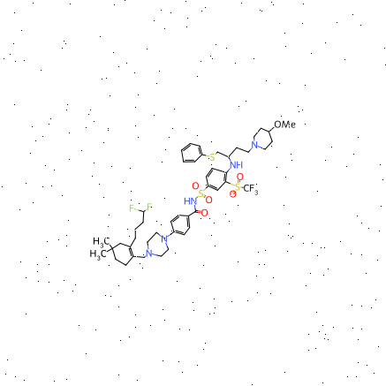 COC1CCN(CCC(CSc2ccccc2)Nc2ccc(S(=O)(=O)NC(=O)c3ccc(N4CCN(CC5=C(CCCC(F)F)CC(C)(C)CC5)CC4)cc3)cc2S(=O)(=O)C(F)(F)F)CC1